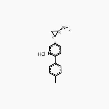 Cc1ccc(-c2ccc([C@@H]3C[C@H]3N)cn2)cc1.Cl